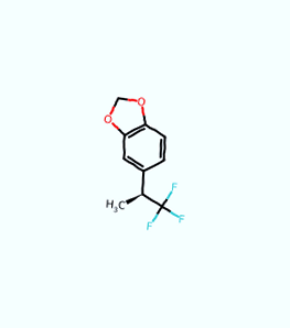 C[C@@H](c1ccc2c(c1)OCO2)C(F)(F)F